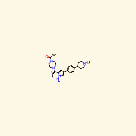 C=Nn1cc(-c2ccc(C3CCN(CC)CC3)cc2)cc1/C(=C\C)N1CCN(C(=O)C(C)=O)CC1